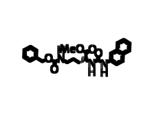 COC(=O)[C@@H](CCCNC(=O)OCc1ccccc1)NC(=O)Nc1ccc2ccccc2c1